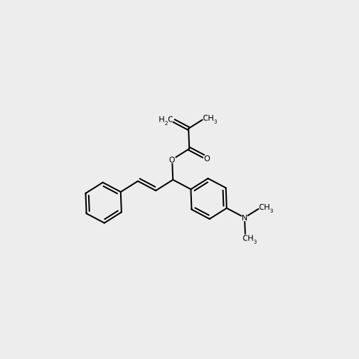 C=C(C)C(=O)OC(C=Cc1ccccc1)c1ccc(N(C)C)cc1